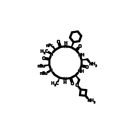 CCCC[C@H]1C(=O)N(C)[C@@H](CCC)C(=O)N[C@@H](C2CCCCC2)C(=O)N[C@@H](CN)C(=O)N[C@@H](COC2CC(N)C2)C(=O)N[C@H](C)CN1CCCC